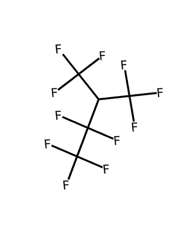 FC(F)(F)C(C(F)(F)F)C(F)(F)C(F)(F)F